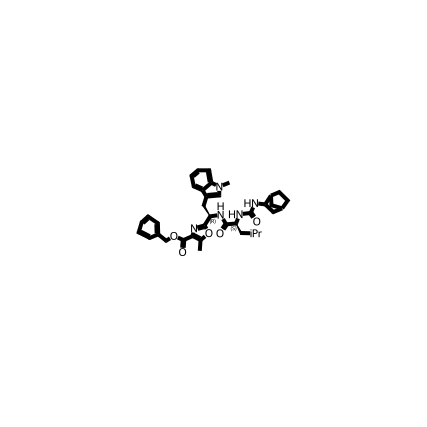 Cc1oc([C@@H](Cc2cn(C)c3ccccc23)NC(=O)[C@H](CC(C)C)NC(=O)NC2CC3CCC2C3)nc1C(=O)OCc1ccccc1